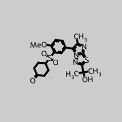 COc1ccc(-c2c(C)nc3sc(C(C)(C)O)nn23)cc1S(=O)(=O)C1CCC(=O)CC1